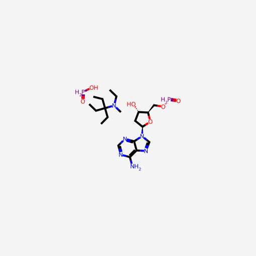 CCN(C)C(CC)(CC)CC.Nc1ncnc2c1ncn2[C@H]1C[C@H](O)[C@@H](CO[PH2]=O)O1.O=[PH2]O